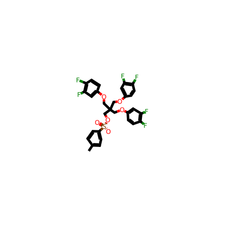 Cc1ccc(S(=O)(=O)OCC(COc2ccc(F)c(F)c2)(COc2ccc(F)c(F)c2)COc2ccc(F)c(F)c2)cc1